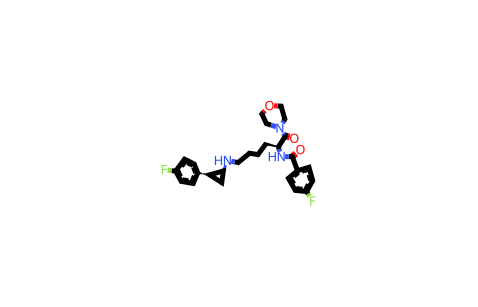 O=C(N[C@@H](CCCCN[C@H]1C[C@@H]1c1ccc(F)cc1)C(=O)N1CCOCC1)c1ccc(F)cc1